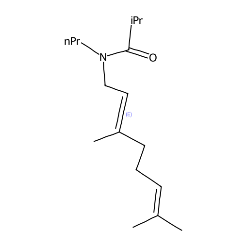 CCCN(C/C=C(\C)CCC=C(C)C)C(=O)C(C)C